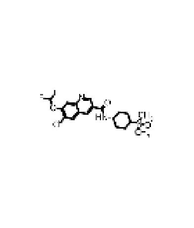 C[N+](C)([O-])[C@H]1CC[C@H](NC(=O)c2cnc3cc(OC(F)F)c(Cl)cc3c2)CC1